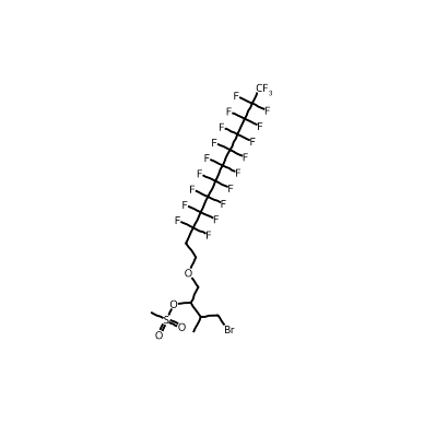 CC(CBr)C(COCCC(F)(F)C(F)(F)C(F)(F)C(F)(F)C(F)(F)C(F)(F)C(F)(F)C(F)(F)C(F)(F)C(F)(F)F)OS(C)(=O)=O